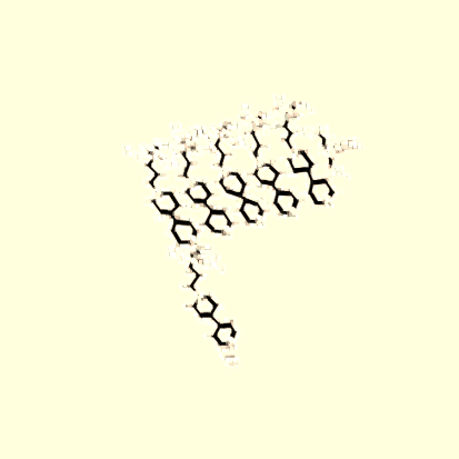 CCOCC.C[N+](C)(C)CCCN1C=CC(c2ccncc2)=CC1.C[N+](C)(C)CCCN1C=CC(c2ccncc2)=CC1.C[N+](C)(C)CCCN1C=CC(c2ccncc2)=CC1.C[N+](C)(C)CCCN1C=CC(c2ccncc2)=CC1.C[N+](C)(C)CCCN1C=CC(c2ccncc2)=CC1.C[N+](C)(C)CCCN1C=CC(c2ccncc2)=CC1.[Cl-].[Cl-].[Cl-].[Cl-].[Cl-].[Cl-]